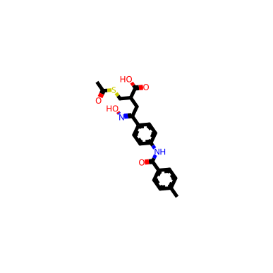 CC(=O)SCC(CC(=NO)c1ccc(NC(=O)c2ccc(C)cc2)cc1)C(=O)O